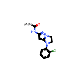 CNC(=O)Nc1cc2n(n1)CCN2c1ccccc1Cl